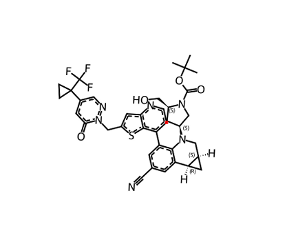 CC(C)(C)OC(=O)N1C[C@@H](N2C[C@H]3C[C@H]3c3cc(C#N)cc(-c4ccnc5cc(Cn6ncc(C7(C(F)(F)F)CC7)cc6=O)sc45)c32)C[C@H]1CO